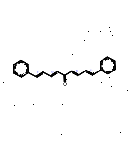 O=C(/C=C/C=C/c1ccccc1)/C=C/C=C/c1ccccc1